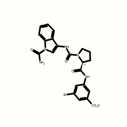 NC(=O)n1cc(NC(=O)N2CCC[C@H]2C(=O)Nc2cc(Br)cc(C(=O)O)c2)c2ccccc21